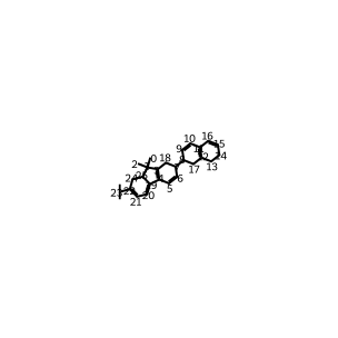 CC1(C)C2=C(C=CC(C3C=CC4=C(CCC=C4)C3)C2)C2=CC=C(I)CC21